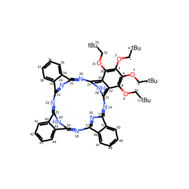 CC(C)(C)COc1c(OCC(C)(C)C)c(OCC(C)(C)C)c2c3nc4nc(nc5[nH]c(nc6nc(nc([nH]3)c2c1OCC(C)(C)C)-c1ccccc1-6)c1ccccc51)-c1ccccc1-4